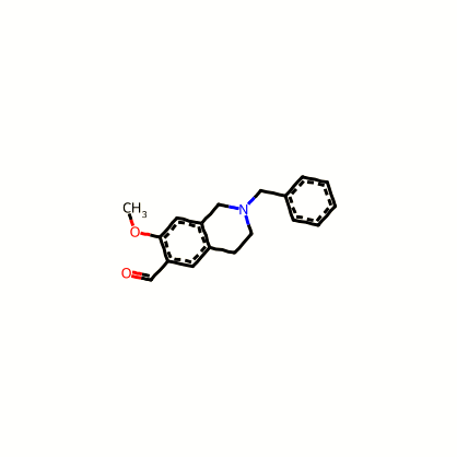 COc1cc2c(cc1C=O)CCN(Cc1ccccc1)C2